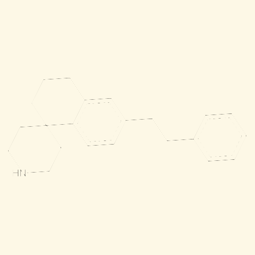 c1ccc(CCc2ccc3c(c2)CCCC32CCNCC2)cc1